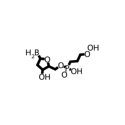 BC1CC(O)C(COP(=O)(O)CCCOO)O1